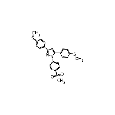 CSc1ccc(-c2cc(-c3ccc(SC)cc3)n(-c3ccc(S(C)(=O)=O)cc3)n2)cc1